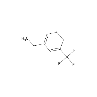 CCC1=C[CH]CC(C(F)(F)F)=C1